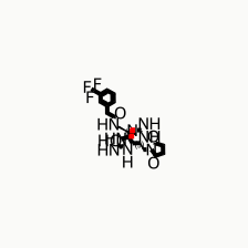 N=C1NC2[C@H](CN3C(=O)CCC3=O)NC(=N)N3C[C@H](NC(=O)Cc4cccc(C(F)(F)F)c4)C(O)C23N1